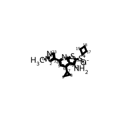 Cn1cc(-c2cc(C3CC3)c3c(N)c([S+]([O-])C4CCC4)sc3n2)cn1